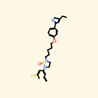 C=C/C=C(\C=C(/C)S)N1CCN(CCCCCOC2=CCC=C(C3=NCC(CC)=C3)C=C2)[S+]1[O-]